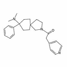 CN(C)C1(c2ccccc2)CCC2(CCN(C(=O)Cc3ccncc3)C2)CC1